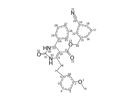 COc1cccc(CCC2=C(C(=O)OCc3cccc(C#N)c3)C(c3ccccc3)NC(=O)N2)c1